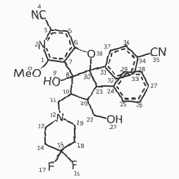 COc1nc(C#N)cc2c1C1(O)C(CN3CCC(F)(F)CC3)C(CO)C(c3ccccc3)C1(c1ccc(C#N)cc1)O2